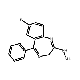 NNC1=Nc2ccc(F)cc2C(c2ccccc2)=NC1